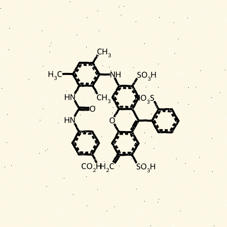 C=c1cc2c(cc1S(=O)(=O)O)=C(c1ccccc1S(=O)(=O)O)c1cc(S(=O)(=O)O)c(Nc3c(C)cc(C)c(NC(=O)Nc4ccc(C(=O)O)cc4)c3C)cc1O2